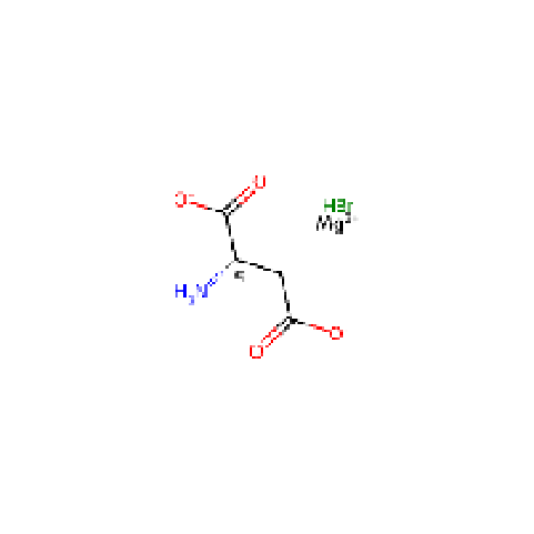 Br.N[C@@H](CC(=O)[O-])C(=O)[O-].[Mg+2]